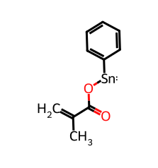 C=C(C)C(=O)[O][Sn][c]1ccccc1